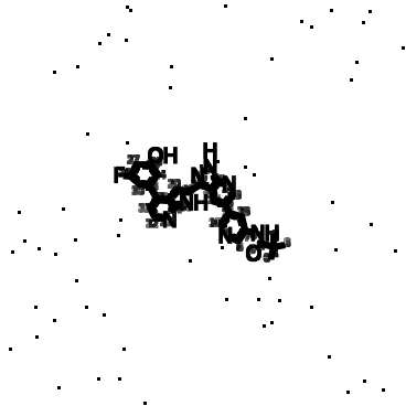 CC(C)(C)C(=O)Nc1cncc(-c2cnc3[nH]nc(-c4cc5c(-c6cc(O)cc(F)c6)ccnc5[nH]4)c3c2)c1